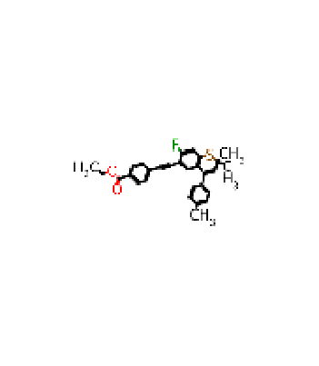 CCOC(=O)c1ccc(C#Cc2cc3c(cc2F)SC(C)(C)C=C3c2ccc(C)cc2)cc1